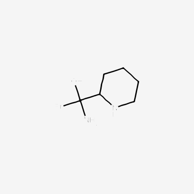 CCC(N)(O)C1CCCCN1